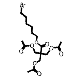 CC(=O)OCC(COC(C)=O)(COC(C)=O)C(=O)OCCCCCCBr